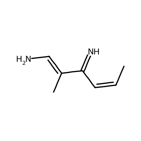 C/C=C\C(=N)/C(C)=C/N